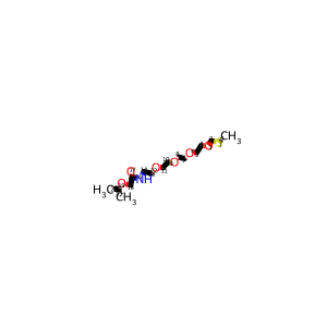 CSCOCCOCCOCCOCCNC(=O)COC(C)C